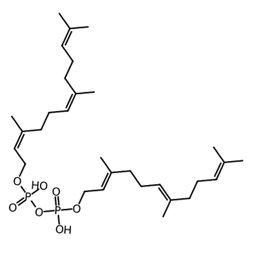 CC(C)=CCCC(C)=CCCC(C)=CCOP(=O)(O)OP(=O)(O)OCC=C(C)CCC=C(C)CCC=C(C)C